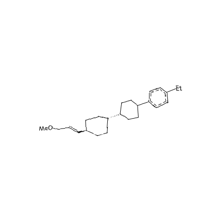 CCc1ccc(C2CCC([C@H]3CC[C@H](/C=C/COC)CC3)CC2)cc1